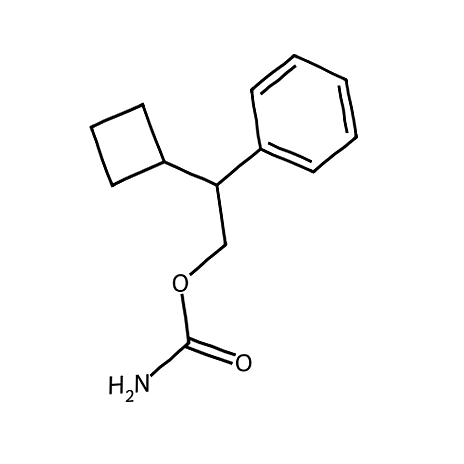 NC(=O)OCC(c1ccccc1)C1CCC1